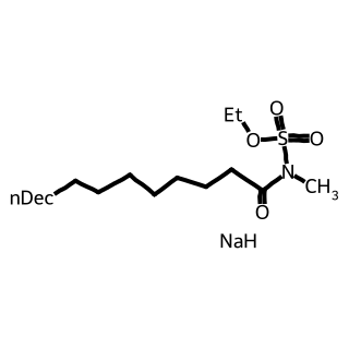 CCCCCCCCCCCCCCCCCC(=O)N(C)S(=O)(=O)OCC.[NaH]